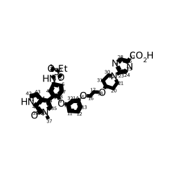 CCS(=O)(=O)Nc1ccc(Oc2cccc(OCCOC3CCN(c4cnc(C(=O)O)cn4)CC3)c2)c(-c2cn(C)c(=O)c3[nH]ccc23)c1